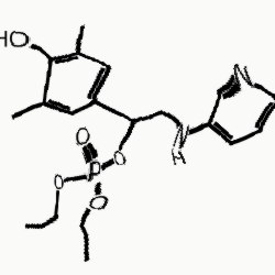 CCOP(=O)(OCC)OC(CNc1cccnc1)c1cc(C)c(O)c(C)c1